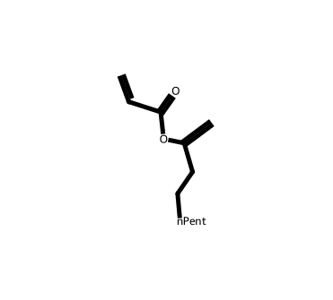 C=CC(=O)OC(=C)CCCCCCC